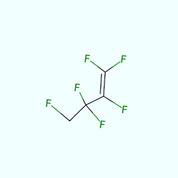 FCC(F)(F)C(F)=C(F)F